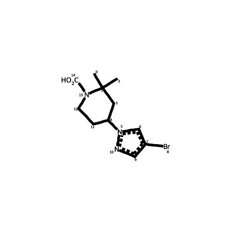 CC1(C)CC(n2cc(Br)cn2)CCN1C(=O)O